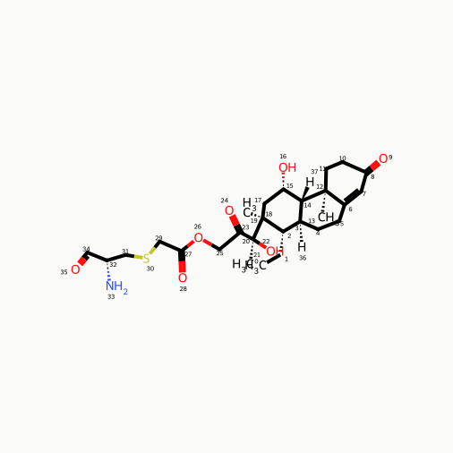 CC[C@H]1[C@@H]2CCC3=CC(=O)CC[C@]3(C)[C@H]2[C@@H](O)C[C@]1(C)[C@@](C)(O)C(=O)COC(=O)CSC[C@H](N)C=O